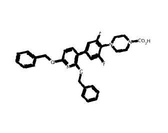 O=C(O)N1CCN(c2c(F)cc(-c3ccc(OCc4ccccc4)nc3OCc3ccccc3)cc2F)CC1